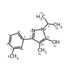 Cc1cccc(-c2nn(C(C)C)c(O)c2C)c1